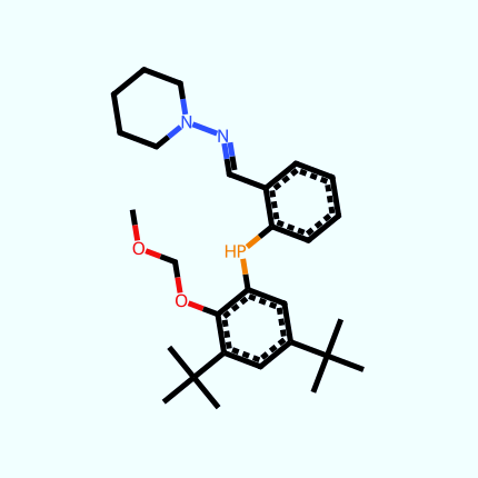 COCOc1c(Pc2ccccc2/C=N/N2CCCCC2)cc(C(C)(C)C)cc1C(C)(C)C